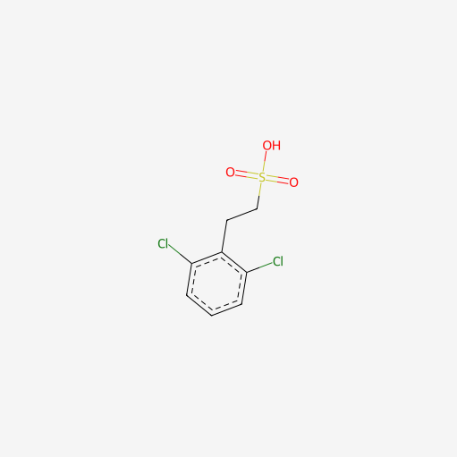 O=S(=O)(O)CCc1c(Cl)cccc1Cl